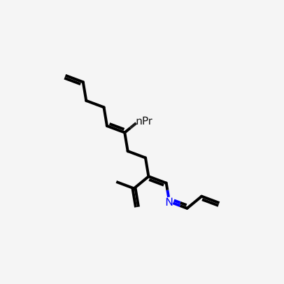 C=C/C=N\C=C(\CC/C(=C/CCC=C)CCC)C(=C)C